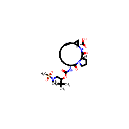 CN(CC(OC(=O)N[C@H]1CCCCC/C=C\C2C[C@@]2(C(=O)O)NC(=O)[C@@H]2CCCN2C1=O)C(C)(C)C)S(C)(=O)=O